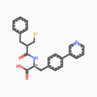 O=C(N[C@@H](Cc1ccc(-c2cccnc2)cc1)C(=O)O)C(CS)Cc1ccccc1